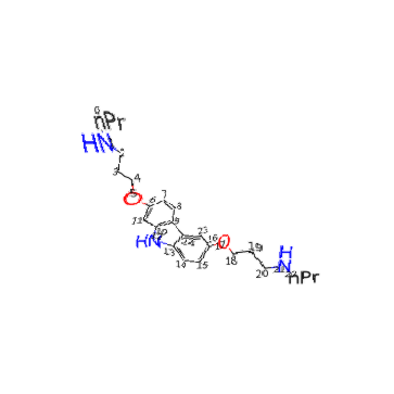 CCCNCCCOc1ccc2c(c1)[nH]c1ccc(OCCCNCCC)cc12